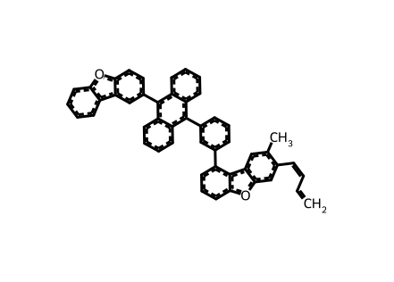 C=C/C=C\c1cc2oc3cccc(-c4cccc(-c5c6ccccc6c(-c6ccc7oc8ccccc8c7c6)c6ccccc56)c4)c3c2cc1C